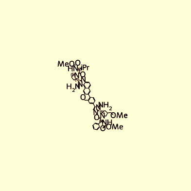 COCC1C[C@@H](c2ncc(-c3ccc4c(c3)COc3cc5c(ccc6nc([C@@H]7CC[C@H](C)N7C(=O)[C@@H](NC(=O)OC)C(C)C)n(N)c65)cc3-4)n2N)N(C(=O)[C@H](NC(=O)OC)c2ccccc2)C1